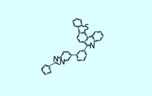 c1ccc(-c2cn3cc(-c4cccc(-c5nc6ccccc6c6c5ccc5c7ccccc7sc56)c4)ccc3n2)cc1